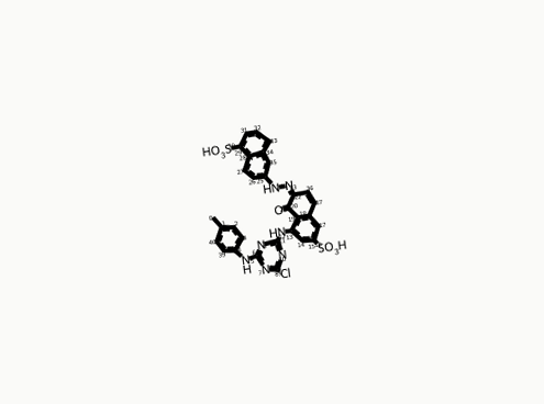 Cc1ccc(Nc2nc(Cl)nc(Nc3cc(S(=O)(=O)O)cc4c3C(=O)/C(=N\Nc3ccc5c(S(=O)(=O)O)cccc5c3)C=C4)n2)cc1